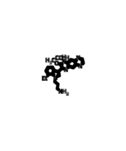 CC(=O)O.CCc1cccc2c(-c3nc4cc5nccnc5cc4[nH]c3=O)cn(CCCN)c12